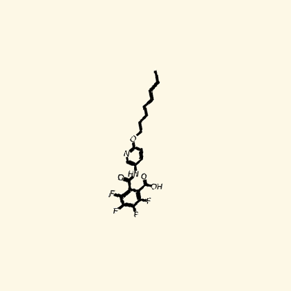 CCCCCCCCOc1ccc(NC(=O)c2c(F)c(F)c(F)c(F)c2C(=O)O)cn1